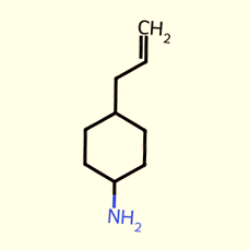 C=CCC1CCC(N)CC1